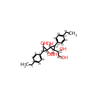 CCc1ccc(C2C(O)[C@]2(O)[C@]2(O)C(c3ccc(CC)cc3)[C@@]2(O)[C@H](O)CO)cc1